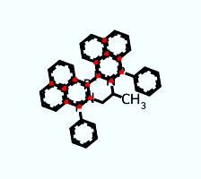 CC(CN(P(c1ccccc1)c1ccccc1)P(c1ccccc1)c1ccccc1)N(P(c1ccccc1)c1ccccc1)P(c1ccccc1)c1ccccc1